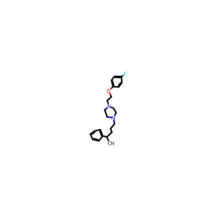 N#CC(CCCN1CCN(CCOc2ccc(F)cc2)CC1)c1ccccc1